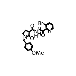 COc1ccc(CN2CCC(C(=O)NNC(=O)c3ncccc3Br)C2=O)cc1